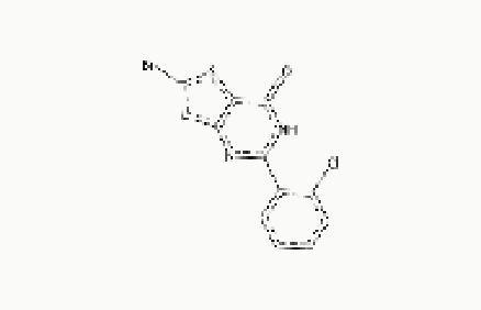 O=c1[nH]c(-c2ccccc2Cl)nc2cc(Br)sc12